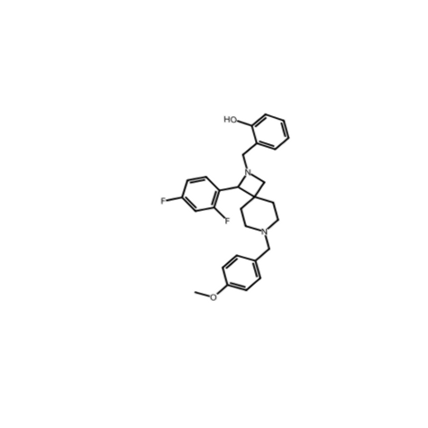 COc1ccc(CN2CCC3(CC2)CN(Cc2ccccc2O)C3c2ccc(F)cc2F)cc1